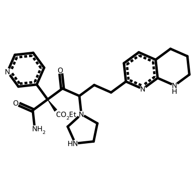 CCOC(=O)[C@](C(N)=O)(C(=O)C(CCc1ccc2c(n1)NCCC2)N1CCNC1)c1cccnc1